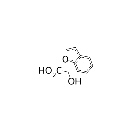 O=C(O)CO.c1ccc2occc2c1